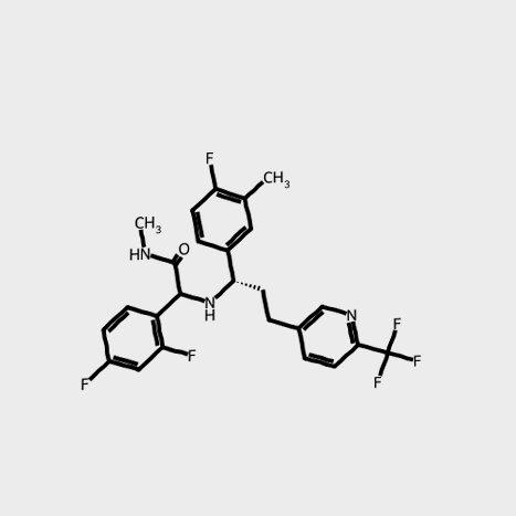 CNC(=O)C(N[C@@H](CCc1ccc(C(F)(F)F)nc1)c1ccc(F)c(C)c1)c1ccc(F)cc1F